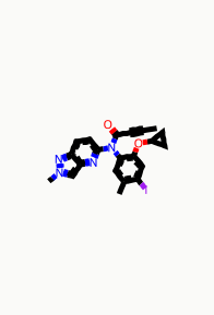 CC#CC(=O)N(c1ccc2nn(C)cc2n1)c1cc(C)c(I)cc1OC1CC1